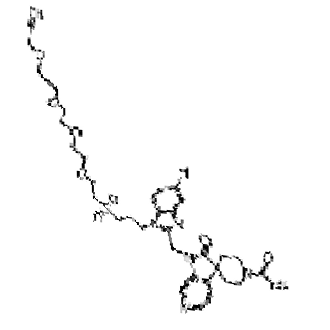 C#CCOCCOCCOCCOCCS(=O)(=O)CCCn1c(CN2C(=O)C3(CCN(C(=O)C(C)CC)CC3)c3ccncc32)nc2cc(Cl)ccc21